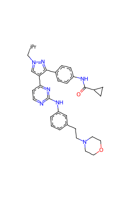 CC(C)Cn1cc(-c2ccnc(Nc3cccc(CCN4CCOCC4)c3)n2)c(-c2ccc(NC(=O)C3CC3)cc2)n1